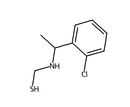 CC(NCS)c1ccccc1Cl